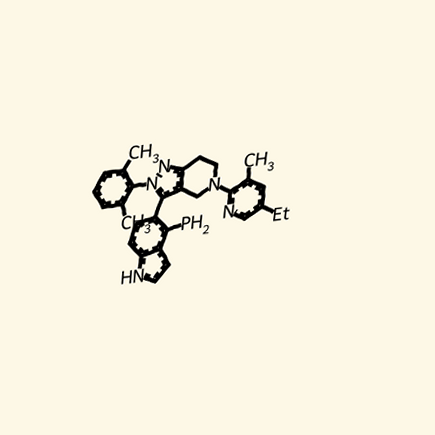 CCc1cnc(N2CCc3nn(-c4c(C)cccc4C)c(-c4ccc5[nH]ccc5c4P)c3C2)c(C)c1